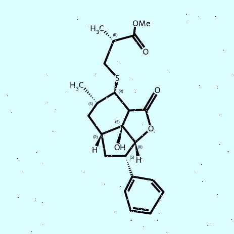 COC(=O)[C@@H](C)CS[C@H]1C2C(=O)O[C@@H]3[C@H](c4ccccc4)C[C@H](C[C@@H]1C)[C@]23O